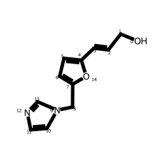 OC/C=C/c1ccc(Cn2ccnc2)o1